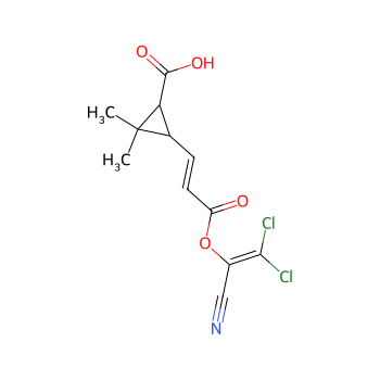 CC1(C)C(C=CC(=O)OC(C#N)=C(Cl)Cl)C1C(=O)O